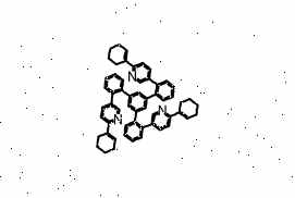 C1=C(c2ccc(-c3ccccc3-c3cc(-c4ccccc4-c4ccc(C5=CCCCC5)nc4)cc(-c4ccccc4-c4ccc(C5=CCCCC5)nc4)c3)cn2)CCCC1